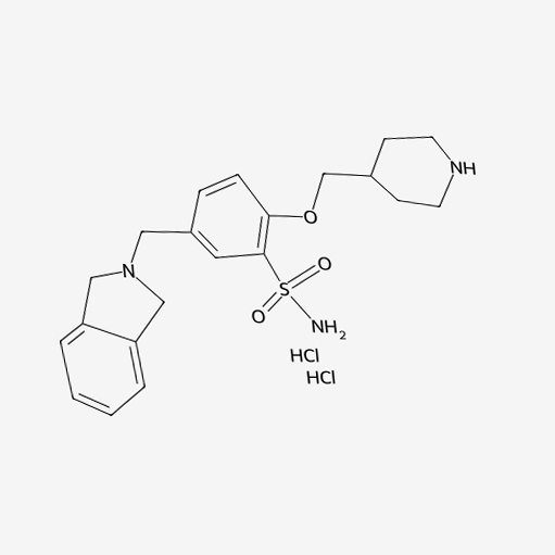 Cl.Cl.NS(=O)(=O)c1cc(CN2Cc3ccccc3C2)ccc1OCC1CCNCC1